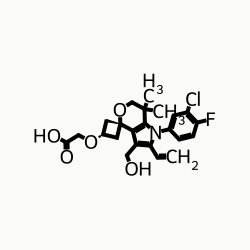 C=Cc1c(CO)c2c(n1-c1ccc(F)c(Cl)c1)C(C)(C)CO[C@]21C[C@@H](OCC(=O)O)C1